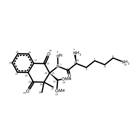 CCCN(C(=O)[C@@H](N)CCCCN)[C@@]1(C(OC)OC)C(=O)c2ccccc2C(=O)C1(C)C